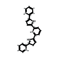 C1=C(c2cccc(-c3ccc(-c4ccccn4)[nH]3)n2)NC(c2ccccn2)C1